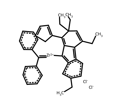 CCC1=CC(CC)(CC)C(C2=CC=CC2)=C2[C]([Zr+2]=[C](c3ccccc3)c3ccccc3)=c3cc(CC)ccc3=C12.[Cl-].[Cl-]